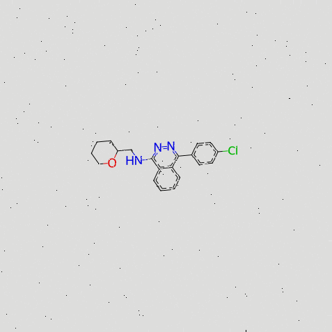 Clc1ccc(-c2nnc(NCC3CCCCO3)c3ccccc23)cc1